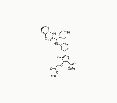 COC(=O)c1sc(-c2cccc(NC(C(=O)Nc3ccccc3Cl)C3CCNCC3)c2)c(Br)c1OCC(=O)OC(C)(C)C